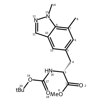 COC(=O)[C@@H](Cc1cc(C)c2c(cnn2C)c1)NC(=O)OC(C)(C)C